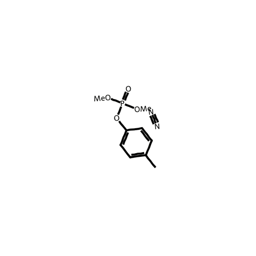 COP(=O)(OC)Oc1ccc(C)cc1.N#N